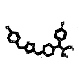 CN(C)C(c1ccc(Cl)cc1)C1CCC(=Cc2nc(Cc3ccc(Cl)cc3)no2)CC1